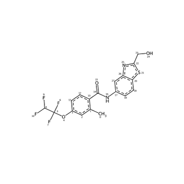 Cc1cc(OC(F)(F)C(F)F)ccc1C(=O)Nc1ccc2sc(CO)nc2c1